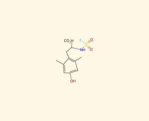 Cc1cc(O)cc(C)c1CC(NS(=O)(=O)F)C(=O)O